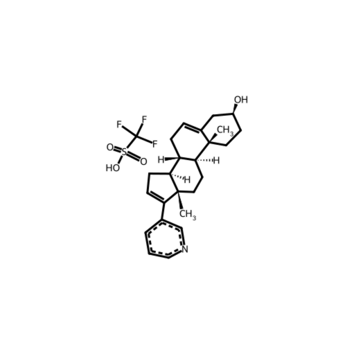 C[C@]12CC[C@H](O)CC1=CC[C@@H]1[C@@H]2CC[C@]2(C)C(c3cccnc3)=CC[C@@H]12.O=S(=O)(O)C(F)(F)F